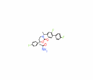 C[C@@H](c1ccc(-c2ccc(F)cc2)c(F)c1)N1CC[C@](CC(N)=O)(c2ccc(F)cc2)OC1=O